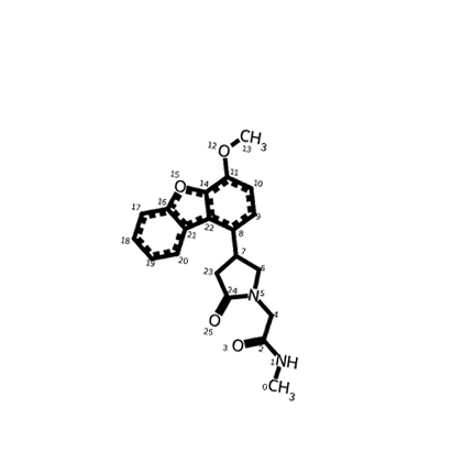 CNC(=O)CN1CC(c2ccc(OC)c3oc4ccccc4c23)CC1=O